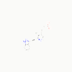 COC(=O)CCSc1ccnc(C#Cc2nn(C)c3ccccc23)c1Cl